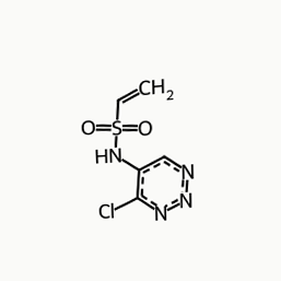 C=CS(=O)(=O)Nc1cnnnc1Cl